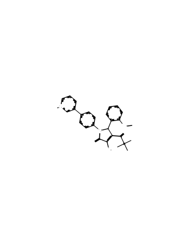 COc1ccccc1C1C(C(=O)C(C)(C)C)=C(O)C(=O)N1c1ccc(-c2ccc[n+]([O-])c2)cc1